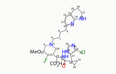 COC(CF)CN(CCCCc1ccc2c(n1)NCCC2)CCC(NC(=O)C1(c2[nH]cnc2Cl)CC1)C(=O)O